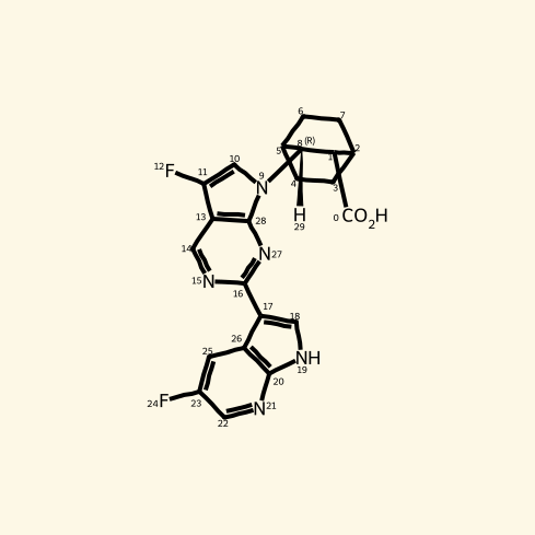 O=C(O)C1C2CCC(CC2)[C@H]1n1cc(F)c2cnc(-c3c[nH]c4ncc(F)cc34)nc21